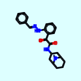 CN1C2CCCC1CC(NC(=O)C(=O)c1ccccc1NN=Cc1ccccc1)C2